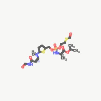 CC(C)OC(=O)[C@@H](C)N[P@](=O)(OCCSC=O)OCC1CCC(N(C)/C=C\C(=O)NC=O)S1